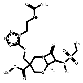 CC(=O)N(C1C(=O)N2CC(CSc3nnnn3CCNC(N)=O)(C(=O)OC(C)(C)C)CS[C@H]12)S(=O)(=O)CC(F)(F)F